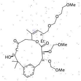 CC[C@H](/C=C(/C)C1CC(=O)C[C@H](O)C(C)(C)c2cccc(c2)C[C@@H](OCOC)[C@H](OCOC)C(=O)O1)COCOCCOC